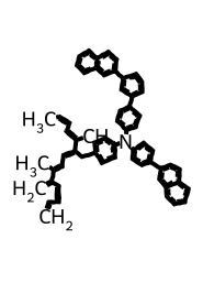 C=C/C=C\C(=C)/C(C)=C/C=C(Cc1ccc(N(c2ccc(-c3cccc(-c4ccc5ccccc5c4)c3)cc2)c2ccc(-c3ccc4ccccc4c3)cc2)cc1)/C(C)=C/C=C\C